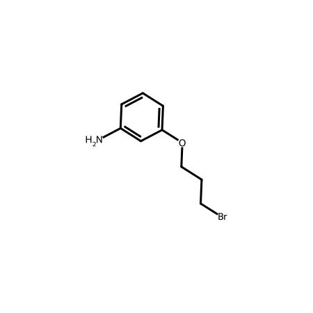 Nc1cccc(OCCCBr)c1